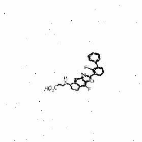 O=C(O)CCNC1CCc2c1cc1nc(-c3cccc(-c4ccccc4)c3F)oc1c2F